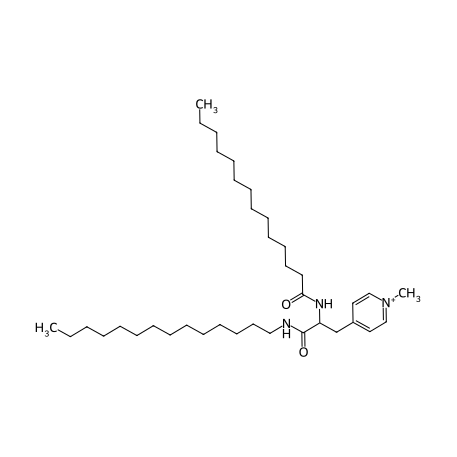 CCCCCCCCCCCCCCNC(=O)C(Cc1cc[n+](C)cc1)NC(=O)CCCCCCCCCCCCC